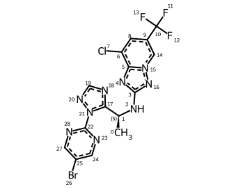 C[C@H](Nc1nc2c(Cl)cc(C(F)(F)F)cn2n1)c1ncnn1-c1ncc(Br)cn1